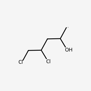 [CH2]C(O)CC(Cl)CCl